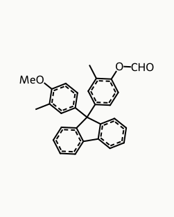 COc1ccc(C2(c3ccc(OC=O)c(C)c3)c3ccccc3-c3ccccc32)cc1C